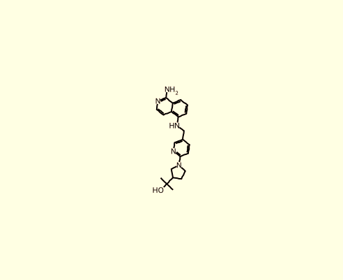 CC(C)(O)C1CCN(c2ccc(CNc3cccc4c(N)nccc34)cn2)C1